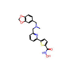 CN(Cc1ccc2c(c1)OCO2)Cc1cccc(-c2ccc(C(=O)NO)s2)n1